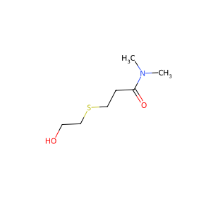 CN(C)C(=O)CCSCCO